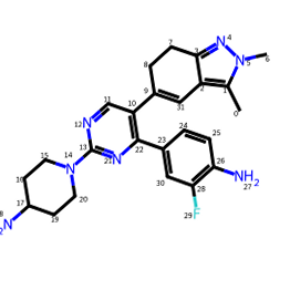 Cc1c2c(nn1C)CCC(c1cnc(N3CCC(N)CC3)nc1-c1ccc(N)c(F)c1)=C2